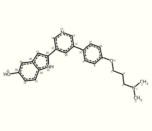 CN(C)CCCOc1ccc(-c2cncc(-c3cc4cc(O)ccc4[nH]3)c2)cc1